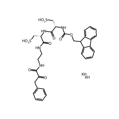 O=C(N[C@@H](CS(=O)(=O)O)C(=O)N[C@@H](CS(=O)(=O)O)C(=O)NCCNC(=O)C(=O)Cc1ccccc1)OCC1c2ccccc2-c2ccccc21.[KH].[KH]